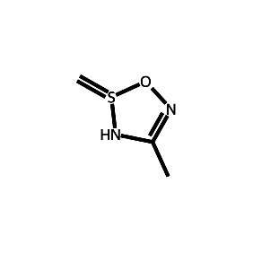 C=S1NC(C)=NO1